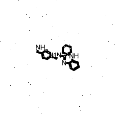 NCc1ccc(CNC2=Nc3ccccc3NC23CCCCC3)cc1